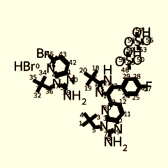 Br.CC(C)(C)Cn1c(N)nc2ccc(-c3nc(C(C)(C)C)[nH]c3-c3ccc(F)cc3)nc21.CC(C)(C)Cn1c(N)nc2ccc(Br)nc21.CS(=O)(=O)O.CS(=O)(=O)O